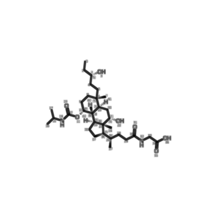 CC[C@H](O)CC[C@@]1(C)CC[C@@H](OC(=O)NC(C)C)[C@@H]2[C@@H]1C[C@H](O)[C@]1(C)[C@@H]([C@H](C)CCC(=O)NCC(=O)O)CC[C@@H]21